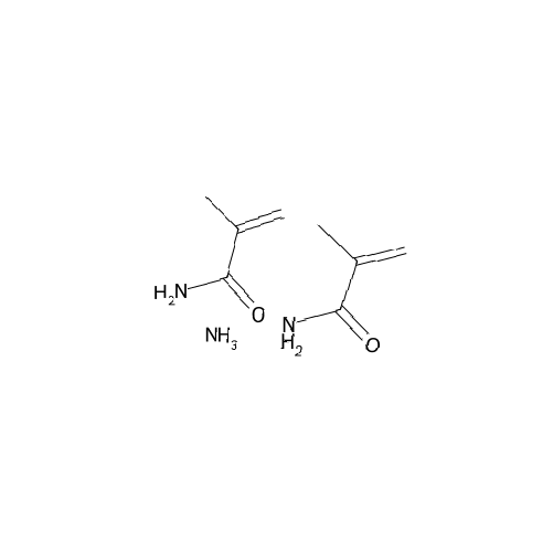 C=C(C)C(N)=O.C=C(C)C(N)=O.N